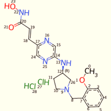 COc1ccccc1CN1CC[C@@H](Nc2cnc(C=CC(=O)NO)cn2)C1.Cl.Cl